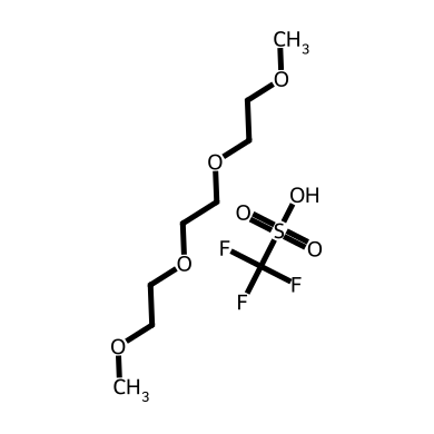 COCCOCCOCCOC.O=S(=O)(O)C(F)(F)F